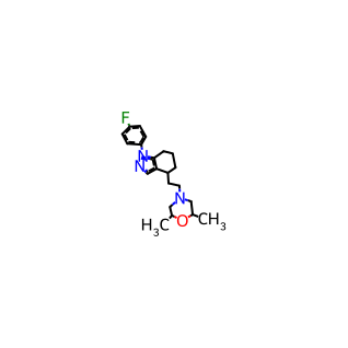 CC1CN(CCC2CCCc3c2cnn3-c2ccc(F)cc2)CC(C)O1